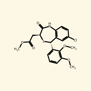 COC(=O)C[C@@H]1S[C@@H](c2cccc(OC)c2OC)c2cc(Cl)ccc2NC1=O